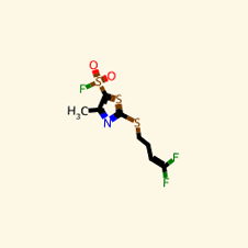 Cc1nc(SCCC=C(F)F)sc1S(=O)(=O)F